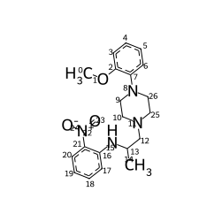 COc1ccccc1N1CCN(CC(C)Nc2ccccc2[N+](=O)[O-])CC1